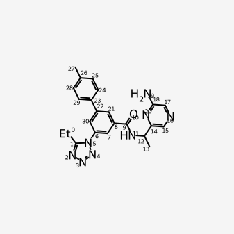 CCc1nnnn1-c1cc(C(=O)NC(C)c2cncc(N)n2)cc(-c2ccc(C)cc2)c1